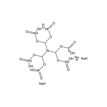 O=[PH](O)OC(O[PH](=O)O)N(C(O[PH](=O)O)O[PH](=O)O)C(O[PH](=O)O)O[PH](=O)O.[NaH].[NaH].[NaH]